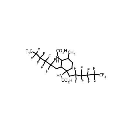 CC1CCC(CC(F)(F)C(F)(F)C(F)(F)C(F)(F)C(F)(F)F)(NC(=O)O)C(CC(F)(F)C(F)(F)C(F)(F)C(F)(F)C(F)(F)F)C1NC(=O)O